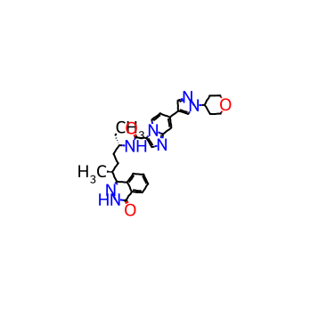 CC[C@@H](CC[C@H](C)c1n[nH]c(=O)c2ccccc12)NC(=O)c1cnc2cc(-c3cnn(C4CCOCC4)c3)ccn12